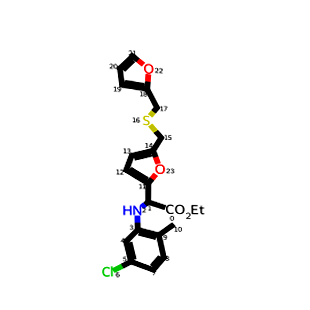 CCOC(=O)C(Nc1cc(Cl)ccc1C)c1ccc(CSCc2ccco2)o1